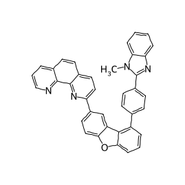 Cn1c(-c2ccc(-c3cccc4oc5ccc(-c6ccc7ccc8cccnc8c7n6)cc5c34)cc2)nc2ccccc21